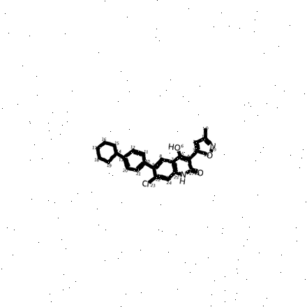 Cc1cc(-c2c(O)c3cc(-c4ccc(C5CCCCC5)cc4)c(Cl)cc3[nH]c2=O)on1